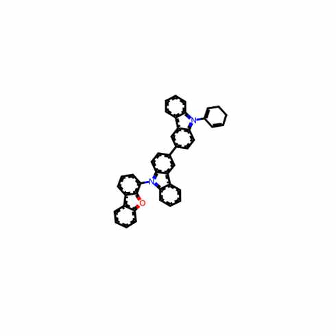 C1=CC(n2c3ccccc3c3cc(-c4ccc5c(c4)c4ccccc4n5-c4cccc5c4oc4ccccc45)ccc32)=CCC1